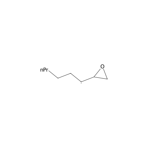 CCCCC[CH]C1CO1